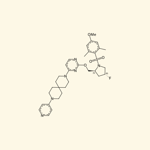 COc1cc(C)c(S(=O)(=O)N2C[C@H](F)C[C@H]2COc2nccc(N3CCC4(CCN(c5ccncc5)CC4)CC3)n2)c(C)c1